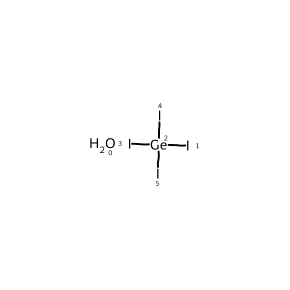 O.[I][Ge]([I])([I])[I]